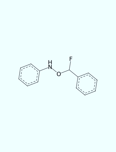 FC(ONc1ccccc1)c1ccccc1